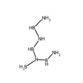 BN(BN)BNBN